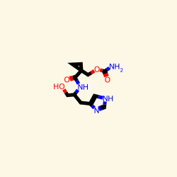 NC(=O)OCC1(C(=O)NC(CO)Cc2c[nH]cn2)CC1